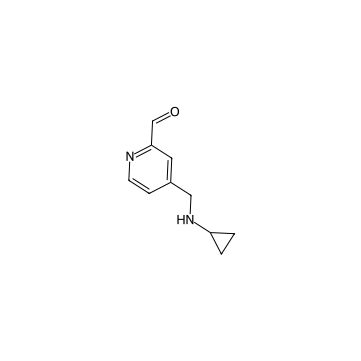 O=Cc1cc(CNC2CC2)ccn1